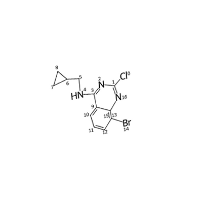 Clc1nc(NCC2CC2)c2cccc(Br)c2n1